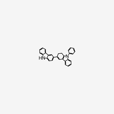 C1=C(c2ccc3[nH]c4ccccc4c3c2)CCc2c1c1ccccc1n2-c1ccccc1